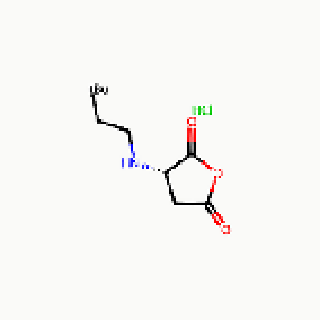 CC(C)(C)CCN[C@H]1CC(=O)OC1=O.Cl